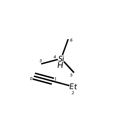 C#CCC.C[SiH](C)C